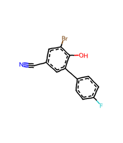 N#Cc1cc(Br)c(O)c(-c2ccc(F)cc2)c1